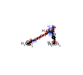 CC(C)[C@H](NC(=O)CCOCCOCCOCCOCCNC(=O)CCC(=O)C(C)(C)C)C(=O)N[C@@H](CCCNC(N)=O)C(=O)Nc1ccc(COC(=O)C(C)(C)C)cc1